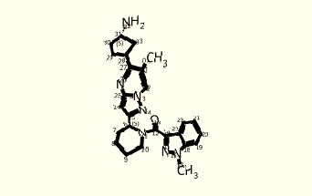 Cc1cn2nc([C@@H]3CCCCN3C(=O)c3nn(C)c4ccccc34)cc2nc1C1CC[C@H](N)C1